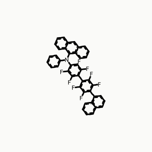 Fc1c(F)c(-c2cccc3ccccc23)c(F)c(F)c1-c1c(F)c(F)c(N(c2ccccc2)c2c3ccccc3cc3ccccc23)c(F)c1F